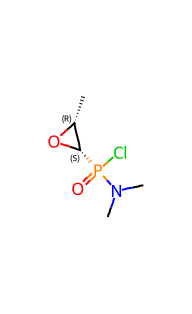 C[C@H]1O[C@H]1P(=O)(Cl)N(C)C